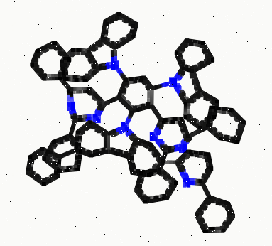 c1ccc(-c2ccc3c(c2)c2ccc(-c4cccc(-c5ccccc5)n4)cc2n3-c2c(-c3cc(-c4ccccc4)nc(-c4ccccc4)n3)c(-n3c4ccccc4c4ccccc43)cc(-n3c4ccccc4c4ccccc43)c2-c2cc(-c3ccccc3)nc(-c3ccccc3)n2)cc1